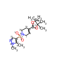 Cc1c(S(=O)(=O)N2CC=C(B3OC(C)(C)C(C)(C)O3)CC2)cnn1C